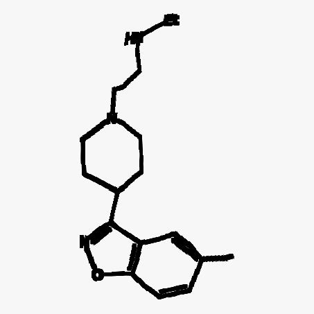 CCNCCN1CCC(c2noc3ccc(C)cc23)CC1